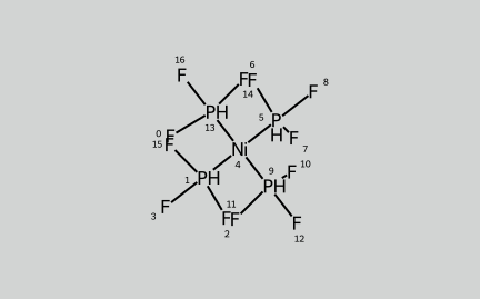 F[PH](F)(F)[Ni]([PH](F)(F)F)([PH](F)(F)F)[PH](F)(F)F